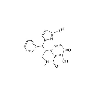 C#Cc1ccn(C(c2ccccc2)C2CN(C)C(=O)c3c(O)c(=O)cnn32)n1